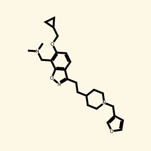 CN(C)Cc1c(OCC2CC2)ccc2c(CCC3CCN(Cc4ccoc4)CC3)noc12